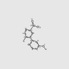 COc1ccnc(-c2cc([N+](=O)[O-])ccc2C)c1